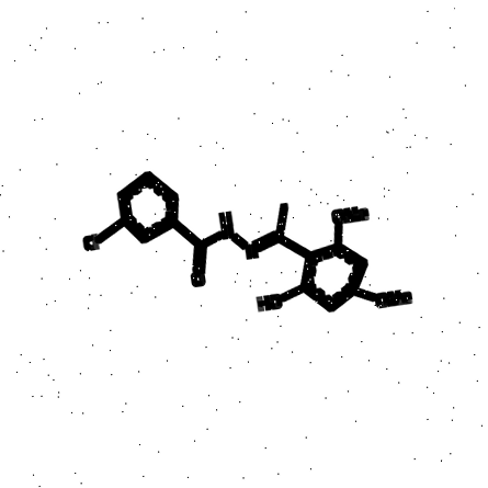 COc1cc(O)c(/C(C)=N/NC(=O)c2cccc(Cl)c2)c(OC)c1